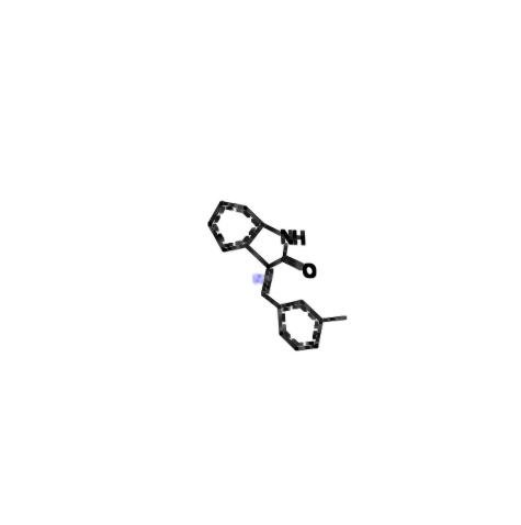 Cc1cccc(/C=C2\C(=O)Nc3ccccc32)c1